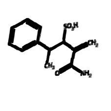 C=C(C(N)=O)C(C(C)c1ccccc1)S(=O)(=O)O